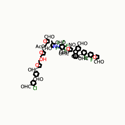 CC(=O)OCc1ccc(C=O)o1.Cc1cc[nH]c1C=O.Cc1ccc(C=O)o1.O=Cc1c(F)c(F)c(F)c(F)c1F.O=Cc1ccc(CO)o1.O=Cc1ccc([N+](=O)[O-])o1.O=Cc1ccc2c(c1)Cc1ccccc1-2.O=Cc1ccccc1.O=Cc1ccccc1Br.O=Cc1ccccc1Cl.O=Cc1ccccc1F.O=Cc1ccco1